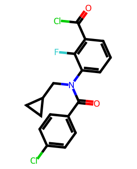 O=C(Cl)c1cccc(N(CC2CC2)C(=O)c2ccc(Cl)cc2)c1F